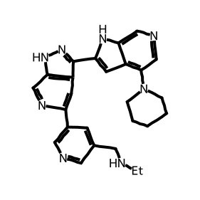 CCNCc1cncc(-c2cc3c(-c4cc5c(N6CCCCC6)cncc5[nH]4)n[nH]c3cn2)c1